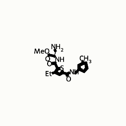 CCc1cc(C(=O)NCc2cccc(C)c2)sc1C(=O)N[C@@H](CN)C(=O)OC